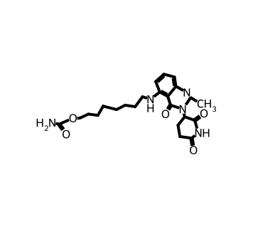 Cc1nc2cccc(NCCCCCCCCOC(N)=O)c2c(=O)n1C1CCC(=O)NC1=O